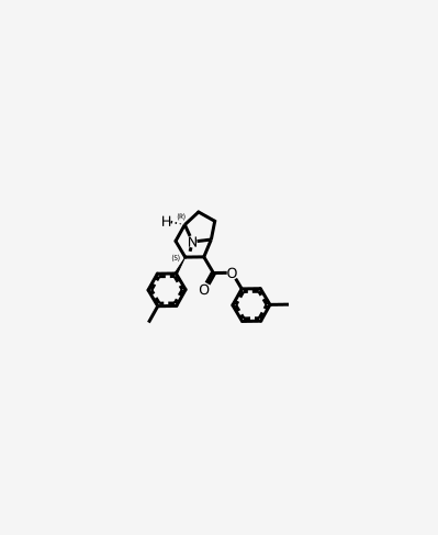 Cc1ccc([C@H]2C[C@H]3CCC(C2C(=O)Oc2cccc(C)c2)N3C)cc1